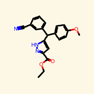 CCOC(=O)c1cc(C(c2ccc(OC)cc2)c2cccc(C#N)c2)[nH]n1